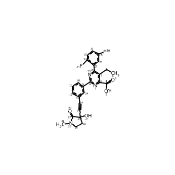 CCc1c(C(=O)O)nc(-c2cccc(C#C[C@]3(O)CCN(C)C3=O)c2)nc1-c1cc(F)ccc1F